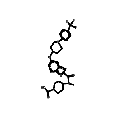 CN(C(=O)c1cc2cc(OC3CCN(c4ccc(C(F)(F)F)cc4)CC3)ccc2o1)C1CCN(C(=O)O)CC1